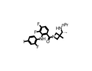 CCCN[C@H](C)C1(C)CN(C(=O)c2ccc(F)c(F)c2Nc2ccc(I)cc2F)C1